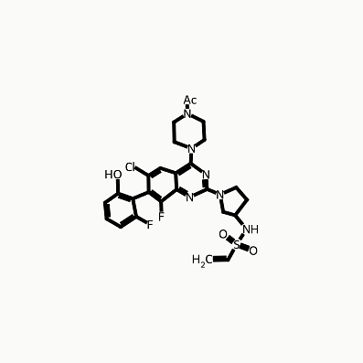 C=CS(=O)(=O)NC1CCN(c2nc(N3CCN(C(C)=O)CC3)c3cc(Cl)c(-c4c(O)cccc4F)c(F)c3n2)C1